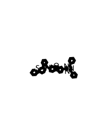 c1ccc(-c2nc(-c3ccccc3)nc(-c3ccc4c(c3)oc3cc(-n5c6ccccc6c6c7sc8ccccc8c7ccc65)ccc34)n2)cc1